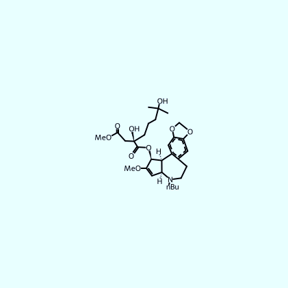 CCCCN1CCc2cc3c(cc2[C@@H]2[C@H](OC(=O)[C@@](O)(CCCC(C)(C)O)CC(=O)OC)C(OC)=C[C@@H]21)OCO3